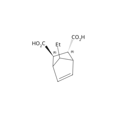 CCC1C2C=CC1[C@@H](C(=O)O)[C@@H]2C(=O)O